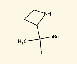 CCC(C)C(C)(I)C1CCN1